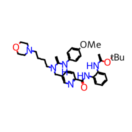 C=C(Nc1ccccc1NC(=O)c1ccc(CN(CCCCN2CCOCC2)C(=C)Nc2ccc(OC)cc2)cn1)OC(C)(C)C